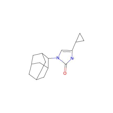 O=C1[N]C(C2CC2)=CN1C1C2CC3CC(C2)CC1C3